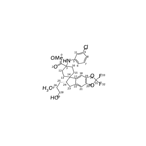 COC(=O)C1(Nc2cccc(Cl)c2)CCC2(CC1)c1cc3c(cc1C[C@@H]2C[C@@H](C)CO)OC(F)(F)O3